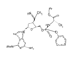 CNc1nc(N)nc2c1ncn2[C@H]1C[C@@H](C(C)=N)[C@@H](CO[P@](=O)(N[C@@H](C)C(=O)OC(C)C)Oc2ccccc2)O1